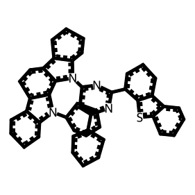 c1ccc(-c2cc(-n3c4ccccc4c4ccc5c6ccccc6n(-c6ccccc6)c5c43)nc(-c3cccc4c3sc3ccccc34)n2)cc1